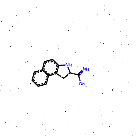 N=C(N)C1Cc2c(ccc3ccccc23)N1